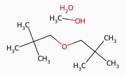 CC(C)(C)COCC(C)(C)C.CO.O